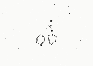 [Br][Co][Br].c1ccncc1.c1ccncc1